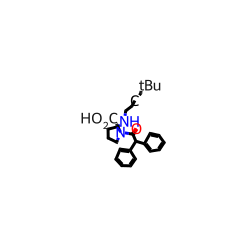 CC(C)(C)CCCCNC1(C(=O)O)CCCN1C(=O)C(c1ccccc1)c1ccccc1